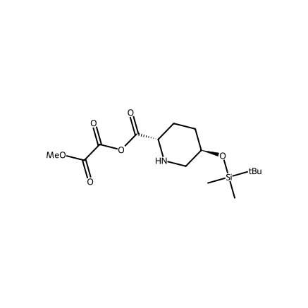 COC(=O)C(=O)OC(=O)[C@@H]1CC[C@@H](O[Si](C)(C)C(C)(C)C)CN1